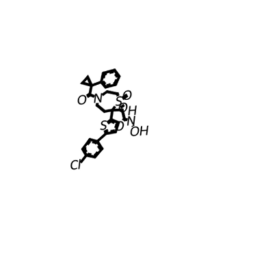 O=C(CC1(c2ccc(-c3ccc(Cl)cc3)s2)CCN(C(=O)C2(c3ccccc3)CC2)CCS1(=O)=O)NO